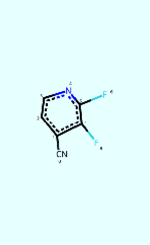 N#Cc1ccnc(F)c1F